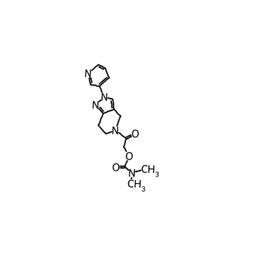 CN(C)C(=O)OCC(=O)N1CCc2nn(-c3cccnc3)cc2C1